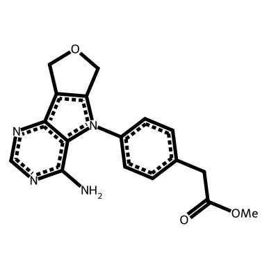 COC(=O)Cc1ccc(-n2c3c(c4ncnc(N)c42)COC3)cc1